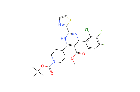 COC(=O)C1=C(C2CCN(C(=O)OC(C)(C)C)CC2)NC(c2nccs2)=NC1c1ccc(F)c(F)c1Cl